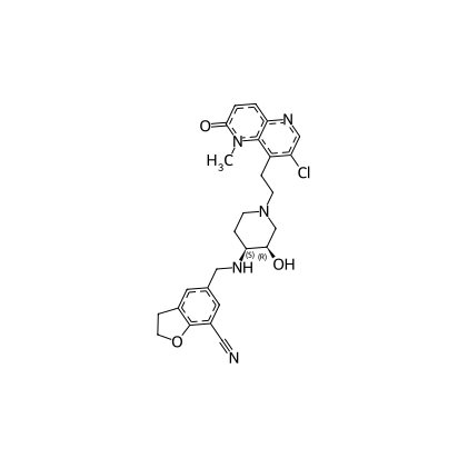 Cn1c(=O)ccc2ncc(Cl)c(CCN3CC[C@H](NCc4cc(C#N)c5c(c4)CCO5)[C@H](O)C3)c21